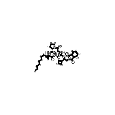 CCCCCC/C=C\C1C[C@]1(NC(=O)[C@@H]1CCCN1C(=O)CNC(=O)NC(CN1C(=O)c2ccccc2C1=O)C1CCC1)C(=O)O